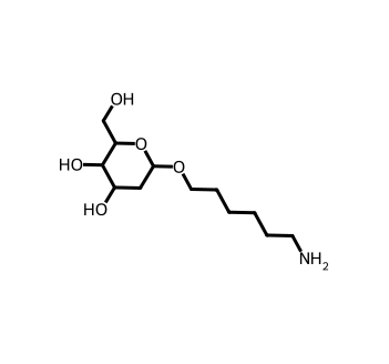 NCCCCCCOC1CC(O)C(O)C(CO)O1